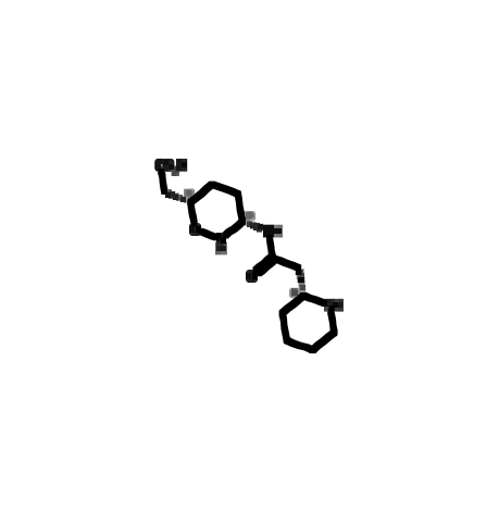 O=C(O)C[C@@H]1CC[C@H](NC(=O)C[C@H]2CCCCN2)BO1